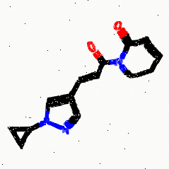 O=C1C=CCCN1C(=O)C=Cc1cnn(C2CC2)c1